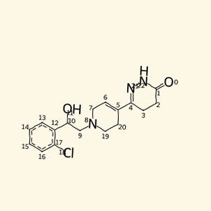 O=C1CCC(C2=CCN(CC(O)c3ccccc3Cl)CC2)=NN1